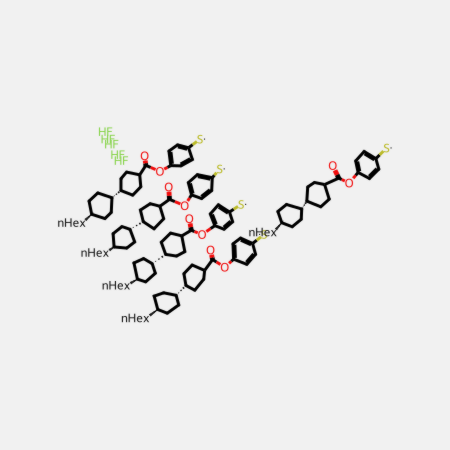 CCCCCC[C@H]1CC[C@H](C2CCC(C(=O)Oc3ccc([S])cc3)CC2)CC1.CCCCCC[C@H]1CC[C@H](C2CCC(C(=O)Oc3ccc([S])cc3)CC2)CC1.CCCCCC[C@H]1CC[C@H](C2CCC(C(=O)Oc3ccc([S])cc3)CC2)CC1.CCCCCC[C@H]1CC[C@H](C2CCC(C(=O)Oc3ccc([S])cc3)CC2)CC1.CCCCCC[C@H]1CC[C@H](C2CCC(C(=O)Oc3ccc([S])cc3)CC2)CC1.F.F.F.F.F